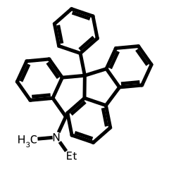 CCN(C)Cc1ccccc1C1(c2ccccc2)c2ccccc2-c2ccccc21